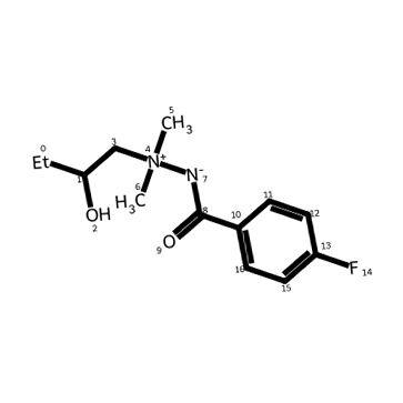 CCC(O)C[N+](C)(C)[N-]C(=O)c1ccc(F)cc1